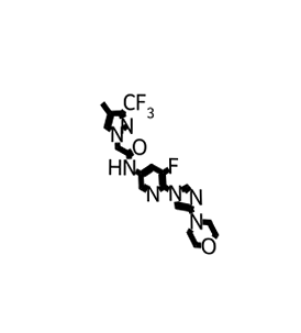 Cc1cn(CC(=O)Nc2cnc(-n3cnc(N4CCOCC4)c3)c(F)c2)nc1C(F)(F)F